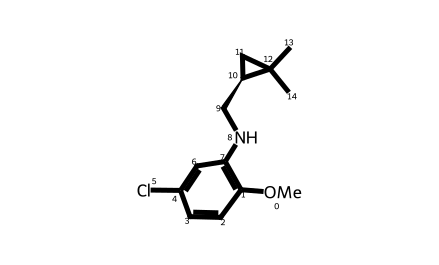 COc1ccc(Cl)cc1NC[C@H]1CC1(C)C